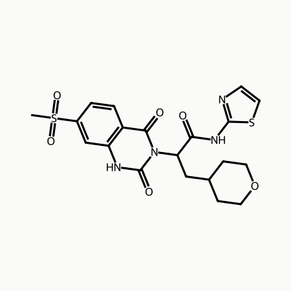 CS(=O)(=O)c1ccc2c(=O)n(C(CC3CCOCC3)C(=O)Nc3nccs3)c(=O)[nH]c2c1